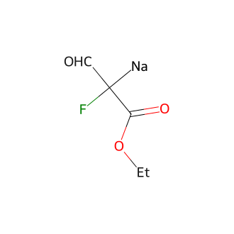 CCOC(=O)[C](F)([Na])C=O